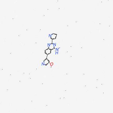 CNc1nc(-c2cccnc2)nc2ccc(-c3cncc(OC)c3)cc12